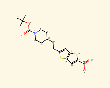 CC(C)(C)OC(=O)N1CCC(CCc2cc3sc(C(=O)O)cc3s2)CC1